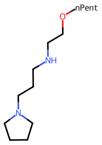 CCCCCOCCNCCCN1CCCC1